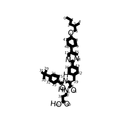 CCCC(C)COc1ccc(-c2cnc(-c3ccc(C[C@H](NC(=O)c4ccc(C(C)(C)C)cc4)C(=O)NCCC(=O)O)cc3)nc2)cc1